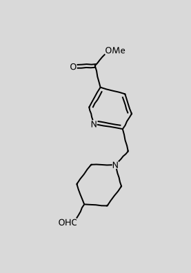 COC(=O)c1ccc(CN2CCC(C=O)CC2)nc1